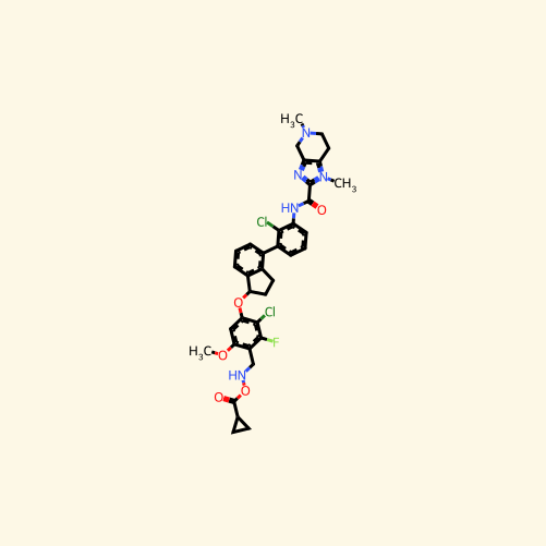 COc1cc(OC2CCc3c(-c4cccc(NC(=O)c5nc6c(n5C)CCN(C)C6)c4Cl)cccc32)c(Cl)c(F)c1CNOC(=O)C1CC1